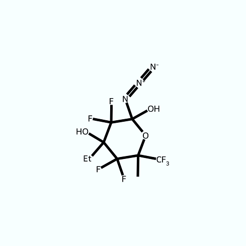 CCC1(O)C(F)(F)C(O)(N=[N+]=[N-])OC(C)(C(F)(F)F)C1(F)F